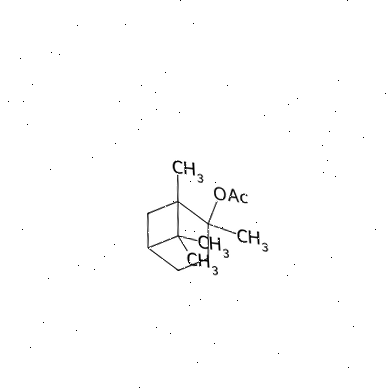 CC(=O)OC1(C)CCC2CC1(C)C2(C)C